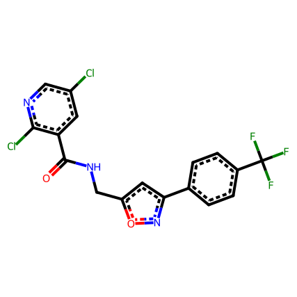 O=C(NCc1cc(-c2ccc(C(F)(F)F)cc2)no1)c1cc(Cl)cnc1Cl